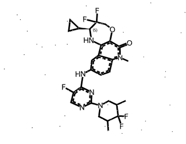 CC1CN(c2ncc(F)c(Nc3ccc4c(c3)c3c(c(=O)n4C)OCC(F)(F)[C@H](C4CC4)N3)n2)CC(C)C1(F)F